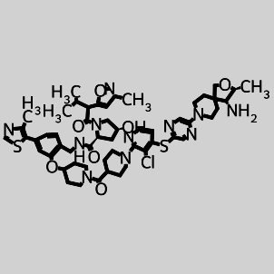 Cc1cc(C(C(=O)N2C[C@H](O)C[C@H]2C(=O)NCc2ccc(-c3scnc3C)cc2OC2CCN(C(=O)C3CCN(c4nccc(Sc5cnc(N6CCC7(CC6)CO[C@@H](C)[C@H]7N)cn5)c4Cl)CC3)CC2)C(C)C)on1